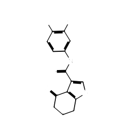 [O]c1cc(NC(=O)c2coc3c2C(=O)CCC3)ccc1F